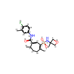 CC1=C(S(=O)(=O)NC2(C)COC2)C=C(C(=O)Nc2ccc(F)c(C)c2)C(C)CC1